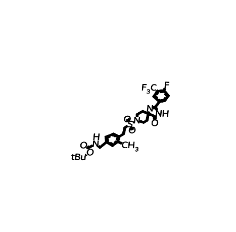 Cc1cc(CNC(=O)OC(C)(C)C)ccc1CCS(=O)(=O)N1CCC2(CC1)N=C(c1ccc(F)c(C(F)(F)F)c1)NC2=O